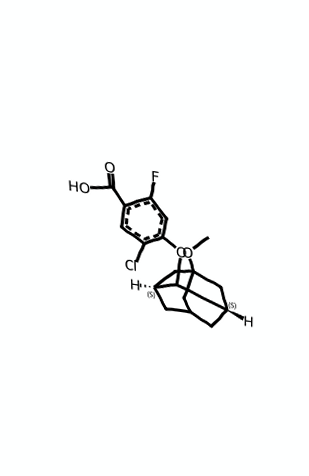 COC12CC3C[C@@H](C1)C(Oc1cc(F)c(C(=O)O)cc1Cl)[C@@H](C3)C2